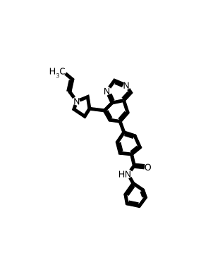 CC=CN1CCC(c2cc(-c3ccc(C(=O)Nc4ccccc4)cc3)cc3cncnc23)C1